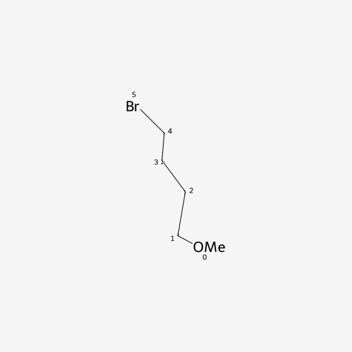 COCC[CH]CBr